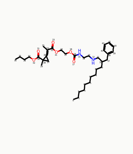 CCCCCCCCCCC(CNCCNC(=O)OCCOC(=O)C(C)=C1CC1(C)C(=O)OCCCC)Cc1ccccc1